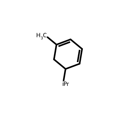 CC1=CC=CC(C(C)C)C1